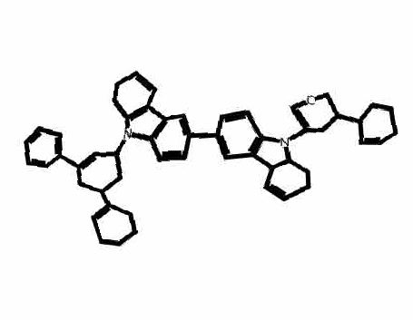 C1=CC(C2CCC=C(N3c4ccc(-c5ccc6c(c5)c5c(n6C6C=C(c7ccccc7)CC(C7=CCCCC7)C6)CCC=C5)cc4C4C=CCCC43)C2)CCC1